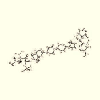 COC(=O)N[C@H]1CCc2cccc3c2N(C1=O)[C@H](c1ncc(-c2ccc(-c4ccc(-c5ccc6nc([C@@H]7CC(F)(F)CN7C(=O)[C@@H](NC(=O)OC)C(C)C)[nH]c6c5)cc4)cc2)[nH]1)C3